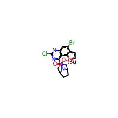 CC(C)(C)OC(=O)N1C2CCC1CN(c1nc(Cl)nc3cc(Br)c4ccoc4c13)C2